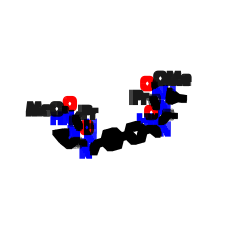 COC(=O)N[C@H](C(=O)N(C1CC1C)[C@@H](C)c1ncc(-c2ccc(C34CCC(c5cnc([C@@H]6CC7CC7N6C(=O)[C@@H](NC(=O)OC)C(C)C)[nH]5)(CC3)CC4)cc2)[nH]1)C(C)C